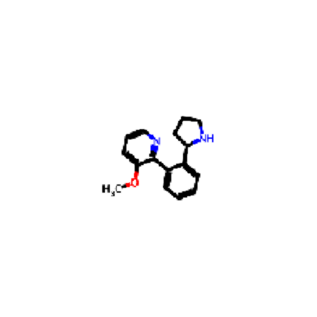 COc1cccnc1-c1ccccc1C1CCCN1